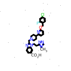 Cn1cnnc1CCn1c(CN2CCC(c3cccc(OCc4ccc(Cl)cc4F)n3)CC2)nc2ccc(C(=O)O)cc21